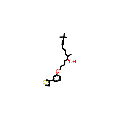 CC(CC=CC#CC(C)(C)C)C(O)CCCCOc1cccc(-c2ccsc2)c1